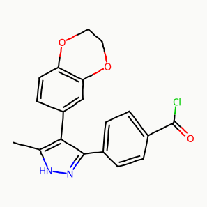 Cc1[nH]nc(-c2ccc(C(=O)Cl)cc2)c1-c1ccc2c(c1)OCCO2